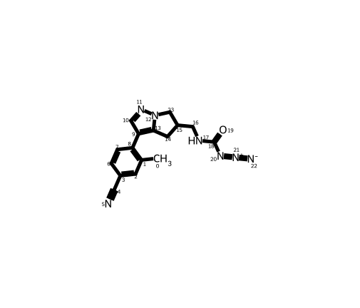 Cc1cc(C#N)ccc1-c1cnn2c1CC(CNC(=O)N=[N+]=[N-])C2